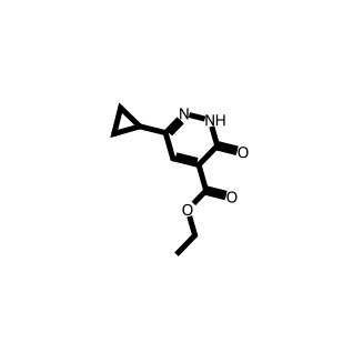 CCOC(=O)c1cc(C2CC2)n[nH]c1=O